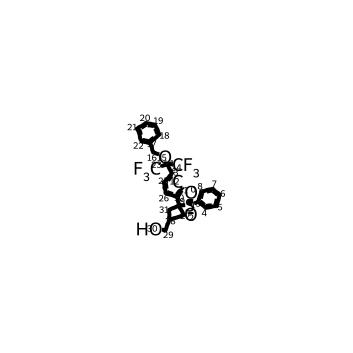 O=S(=O)(c1ccccc1)C1(c2ccc(C(OCc3ccccc3)(C(F)(F)F)C(F)(F)F)cc2)CC(CO)C1